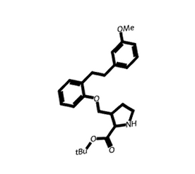 COc1cccc(CCc2ccccc2OCC2CCNC2C(=O)OC(C)(C)C)c1